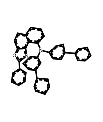 c1ccc(-c2ccc(N(c3cccc(-c4ccccc4)c3)c3cccc4ccc5oc(-c6ccccc6)nc5c34)cc2)cc1